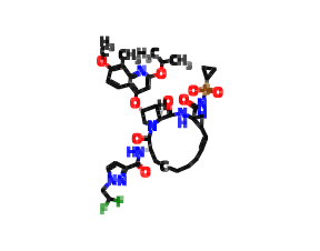 COc1ccc2c(O[C@@H]3C[C@H]4C(=O)N[C@]5(C(=O)NS(=O)(=O)C6CC6)CC5/C=C\CCCCC[C@H](NC(=O)c5ccn(CC(F)F)n5)C(=O)N4C3)cc(OC(C)C)nc2c1C